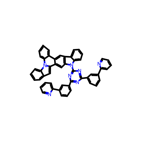 c1ccc(-c2cccc(-c3nc(-c4cccc(-c5ccccn5)c4)nc(-n4c5ccccc5c5cc6c7ccccc7n7c8ccccc8cc7c6cc54)n3)c2)nc1